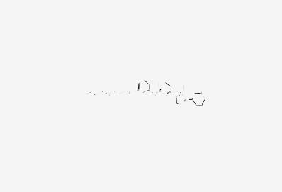 Cc1cccc(-c2ncc(-c3ccnc(Nc4cccc(OCCCNCCCO)c4)n3)[nH]2)c1